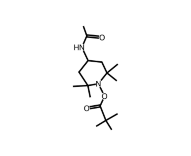 CC(=O)NC1CC(C)(C)N(OC(=O)C(C)(C)C)C(C)(C)C1